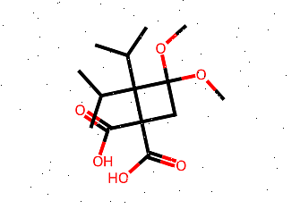 COC1(OC)CC(C(=O)O)(C(=O)O)C1(C(C)C)C(C)C